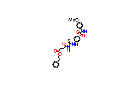 COc1ccc(NS(=O)(=O)c2ccc(NC(=S)NC(=O)CCC(=O)OCCc3ccccc3)cc2)cc1